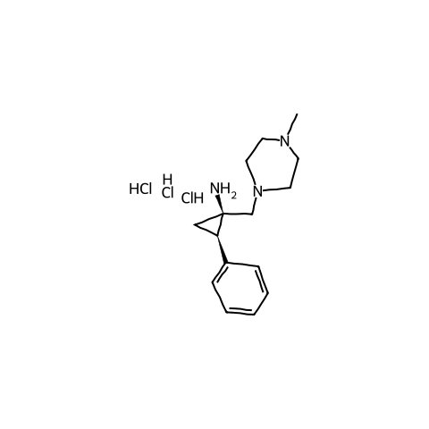 CN1CCN(C[C@@]2(N)C[C@@H]2c2ccccc2)CC1.Cl.Cl.Cl